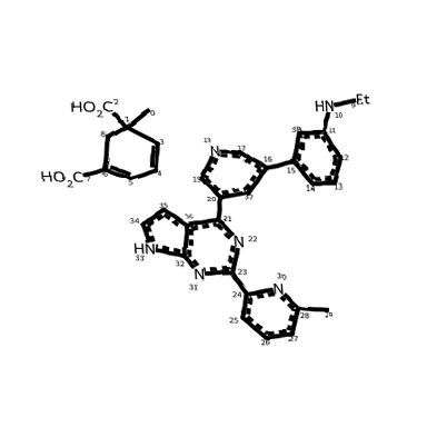 CC1(C(=O)O)C=CC=C(C(=O)O)C1.CCNc1cccc(-c2cncc(-c3nc(-c4cccc(C)n4)nc4[nH]ccc34)c2)c1